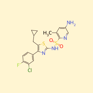 Cc1cc(N)cnc1S(=O)(=O)Nc1nc(-c2ccc(F)c(Cl)c2)c(CC2CC2)s1